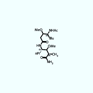 CCC[C@H](NC(=O)CC(OC)[C@@H](NC(C)=O)C(C)CC)C(OC)[C@@H](C)C(N)=O